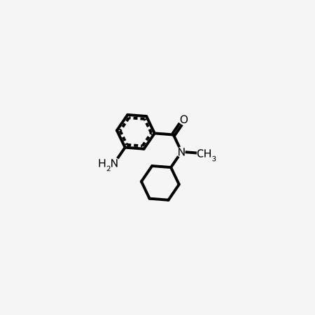 CN(C(=O)c1cccc(N)c1)C1CCCCC1